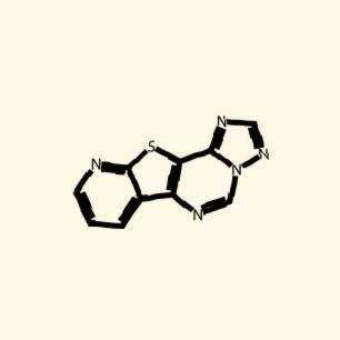 c1cnc2sc3c(ncn4ncnc34)c2c1